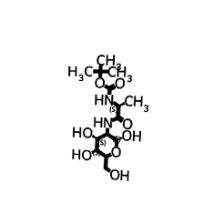 C[C@H](NC(=O)OC(C)(C)C)C(=O)NC1[C@H](O)OC(CO)[C@@H](O)[C@H]1O